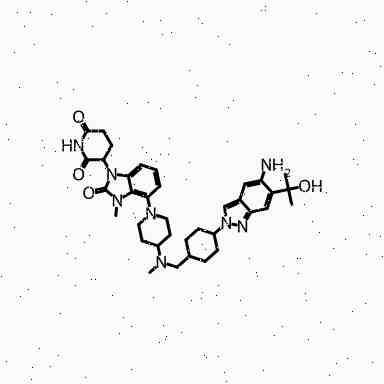 CN(CC1CCC(n2cc3cc(N)c(C(C)(C)O)cc3n2)CC1)C1CCN(c2cccc3c2n(C)c(=O)n3C2CCC(=O)NC2=O)CC1